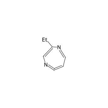 CCC1=CN=C=CC=N1